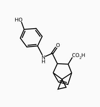 O=C(O)C1C(C(=O)Nc2ccc(O)cc2)C2C=CC1C21CC1